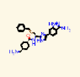 NC[C@H]1CC[C@H](C(=O)N[C@@H](CSCc2ccccc2)c2nc(-c3ccc4c(N)n[nH]c4c3)c[nH]2)CC1